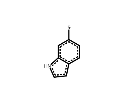 [S]c1ccc2cc[nH]c2c1